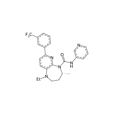 CCN1CC[C@@H](C)N(C(=O)Nc2cccnc2)c2nc(-c3cccc(C(F)(F)F)c3)ccc21